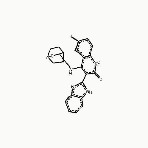 O=c1[nH]c2ccc(I)cc2c(NC2CN3CCC2CC3)c1-c1nc2ccccc2[nH]1